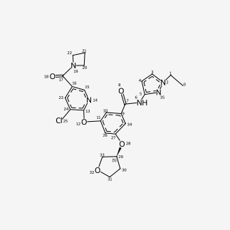 CCn1ccc(NC(=O)c2cc(Oc3ncc(C(=O)N4CCC4)cc3Cl)cc(O[C@H]3CCOC3)c2)n1